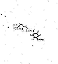 CC1(C)C=CC2=CC(CNC(=O)c3c(F)c(F)c(N=[N+]=[N-])c(F)c3F)CC=C2N1